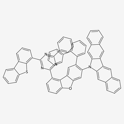 c1ccc(-c2nc(-c3cccc4c3sc3ccccc34)nc(-c3cccc4oc5cc(-n6c7cc8ccccc8cc7c7cc8ccccc8cc76)c(-c6ccccc6-c6ccccc6)cc5c34)n2)cc1